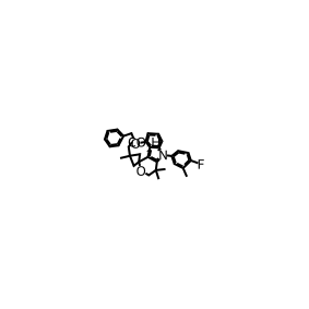 Cc1cc(-n2c3c(c4c(OCc5ccccc5)cccc42)C2(CC(C)(CC(=O)O)C2)OCC3(C)C)ccc1F